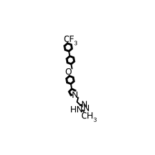 Cc1nnc(CCn2ccc(-c3ccc(OCc4ccc(-c5ccc(C(F)(F)F)cc5)cc4)cc3)c2)[nH]1